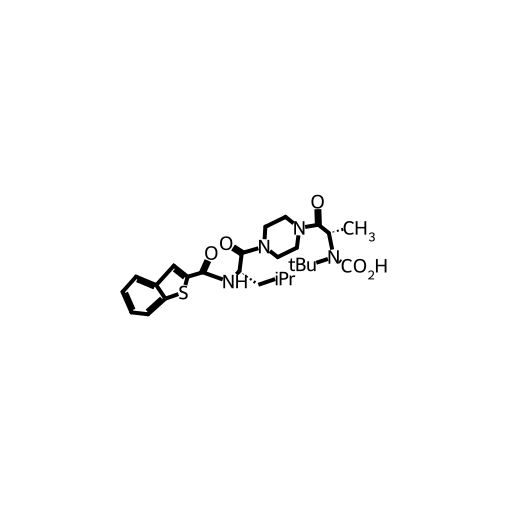 CC(C)C[C@H](NC(=O)c1cc2ccccc2s1)C(=O)N1CCN(C(=O)[C@H](C)N(C(=O)O)C(C)(C)C)CC1